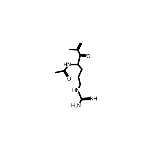 C=C(C)C(=O)C(CCCNC(=N)N)NC(C)=O